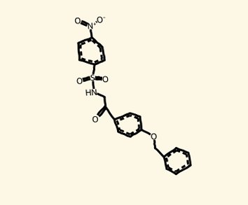 O=C(CNS(=O)(=O)c1ccc([N+](=O)[O-])cc1)c1ccc(OCc2ccccc2)cc1